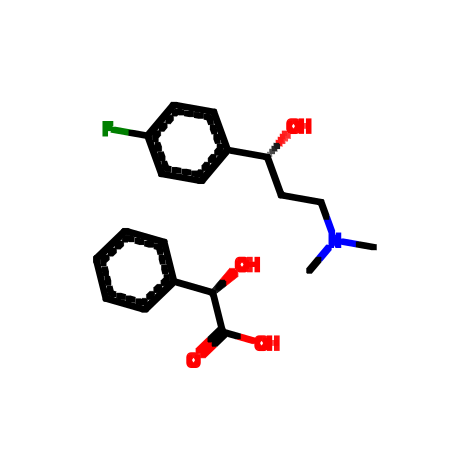 CN(C)CC[C@@H](O)c1ccc(F)cc1.O=C(O)[C@H](O)c1ccccc1